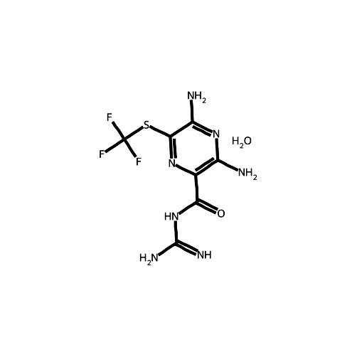 N=C(N)NC(=O)c1nc(SC(F)(F)F)c(N)nc1N.O